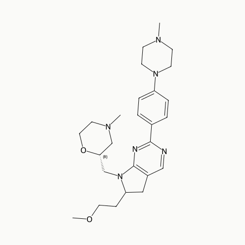 COCCC1Cc2cnc(-c3ccc(N4CCN(C)CC4)cc3)nc2N1C[C@H]1CN(C)CCO1